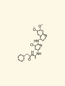 C=C(NC(=O)Cc1ccccc1)Nc1cnc(Nc2ccnc3cc(OC)c(OC)cc23)c(Cl)c1